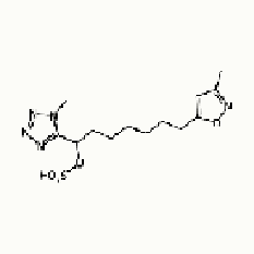 Cc1cc(CCCCCCC(OS(=O)(=O)O)c2nnnn2C)on1